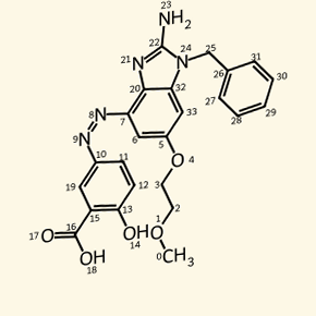 COCCOc1cc(/N=N\c2ccc(O)c(C(=O)O)c2)c2nc(N)n(Cc3ccccc3)c2c1